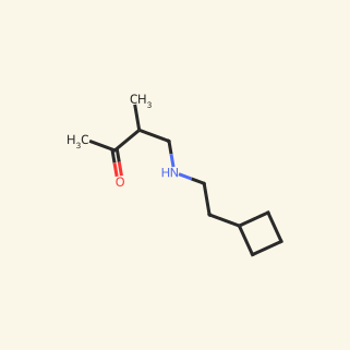 CC(=O)C(C)CNCCC1CCC1